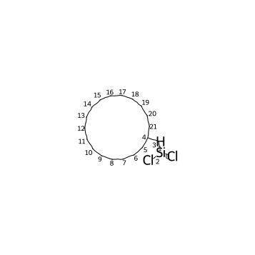 Cl[SiH](Cl)CC1CCCCCCCCCCCCCCCCC1